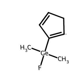 [CH3][Ge]([CH3])([F])[C]1=[C]CC=C1